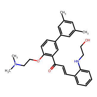 Cc1cc(C)cc(-c2ccc(OCCN(C)C)c(C(=O)C=Cc3ccccc3NCCO)c2)c1